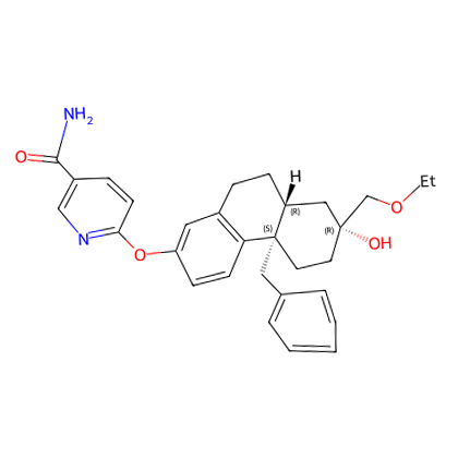 CCOC[C@@]1(O)CC[C@@]2(Cc3ccccc3)c3ccc(Oc4ccc(C(N)=O)cn4)cc3CC[C@@H]2C1